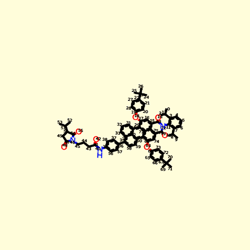 CC(C)c1cccc(C(C)C)c1N1C(=O)c2cc(Oc3ccc(C(C)(C)C)cc3)c3c4cccc5c(-c6ccc(NC(=O)CCCN7C(=O)CC(C(C)C)C7=O)cc6)ccc(c6c(Oc7ccc(C(C)(C)C)cc7)cc(c2c36)C1=O)c54